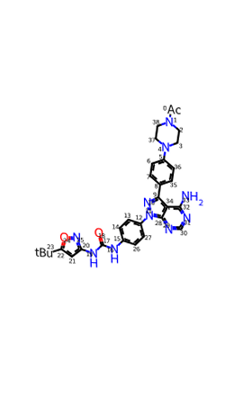 CC(=O)N1CCN(c2ccc(-c3nn(-c4ccc(NC(=O)Nc5cc(C(C)(C)C)on5)cc4)c4ncnc(N)c34)cc2)CC1